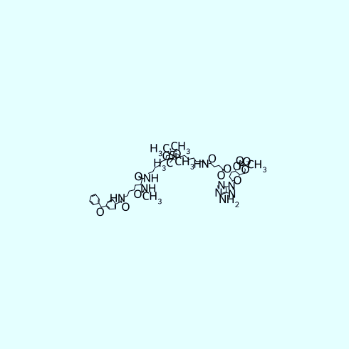 COP1(=O)OCC2OC(n3cnc4c(N)ncnc43)CC(OC(=O)CCC(=O)NCCCCCCO[Si](OCCCCCCNC(=O)C(CCCCNC(=O)c3ccc(C(=O)c4ccccc4)cc3)NC(C)=O)(C(C)C)C(C)C)C2O1